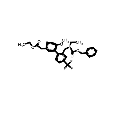 CCOC(=O)Cc1ccc(OC)c(-c2ccc(C(F)(F)F)cc2CN(CC)C(=O)OCc2ccccc2)c1